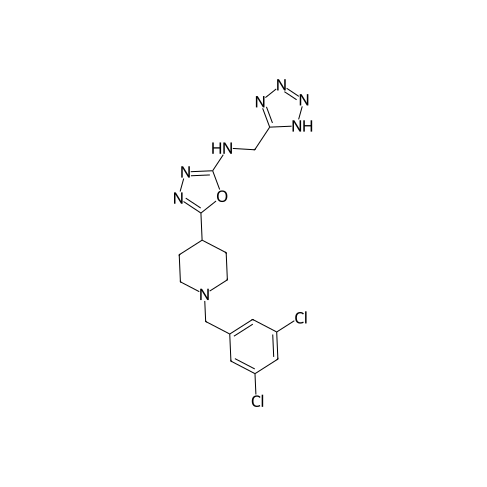 Clc1cc(Cl)cc(CN2CCC(c3nnc(NCc4nnn[nH]4)o3)CC2)c1